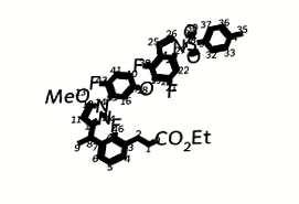 CCOC(=O)CCc1cccc(C(C)c2cc(OC)n(-c3cc(Oc4c(F)cc5c(ccn5S(=O)(=O)c5ccc(C)cc5)c4F)ccc3F)n2)c1F